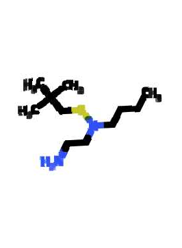 CCCCN(CCN)SCC(C)(C)C